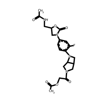 CC(=O)NCC1CN(c2ccc(N3CC4CN(C(=O)COC(C)=O)CC43)c(F)c2)C(=O)O1